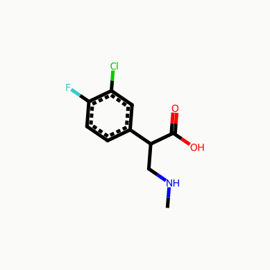 CNCC(C(=O)O)c1ccc(F)c(Cl)c1